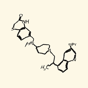 CCCc1cnc2cccc(C(C)CN3CCC(NCc4ccc5c(c4)NC(=O)CS5)CC3)c2c1